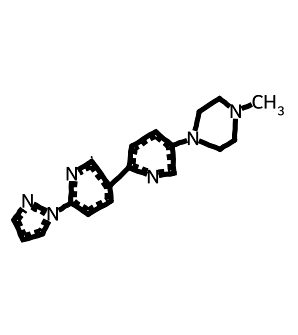 CN1CCN(c2ccc(-c3[c]nc(-n4cccn4)cc3)nc2)CC1